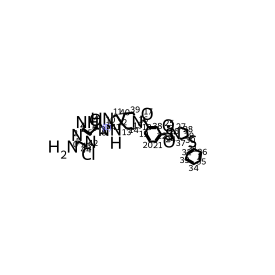 Nc1nc(N)c(C(=O)/N=C2\NCC3(CCN(C(=O)c4cccc(S(=O)(=O)N5CCC(Sc6ccccc6)C5)c4)CC3)N2)nc1Cl